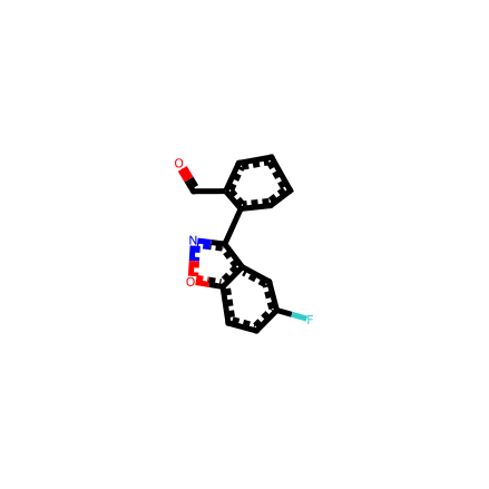 O=Cc1ccccc1-c1noc2ccc(F)cc12